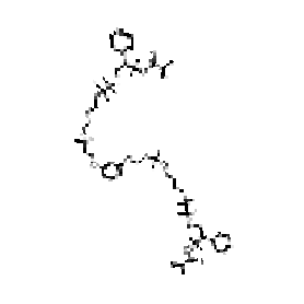 C=C(C)C(=O)OC(C)(C)C(COC(C)(C)C(C)(C)CCCCOC(C)(C)CCOc1cccc(OCCC(C)(C)OCCCCC(C)(C)C(C)(C)OCC(c2ccccc2)C(C)(C)OC(=O)C(=C)C)c1)c1ccccc1